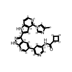 Cc1cn(-c2nccc3[nH]c(-c4n[nH]c5ncc(-c6cncc(NC(=O)C7CCC7)c6)cc45)cc23)cn1